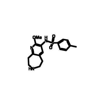 COc1nc2c(cc1NS(=O)(=O)c1ccc(C)cc1)CCNCC2